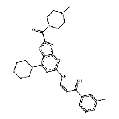 Cc1cccc(C(=N)/C=C\Nc2nc(N3CCOCC3)c3oc(C(=O)N4CCN(C)CC4)cc3n2)c1